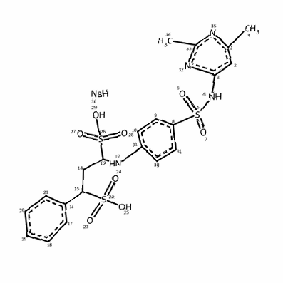 Cc1cc(NS(=O)(=O)c2ccc(NC(CC(c3ccccc3)S(=O)(=O)O)S(=O)(=O)O)cc2)nc(C)n1.[NaH]